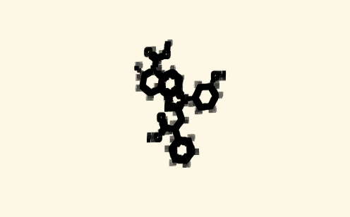 COC(=O)N1c2ccc3c(nc(CC(C(=O)O)c4ccccc4)n3[C@@H]3CCC[C@@H](O)C3)c2CC[C@@H]1C